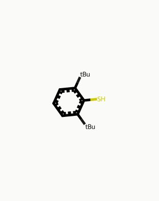 CC(C)(C)c1cccc(C(C)(C)C)c1S